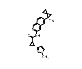 Cn1ccc([C@@H]2C[C@H]2C(=O)Nc2cc3cc([C@]4(C#N)CC45CC5)ccc3cn2)n1